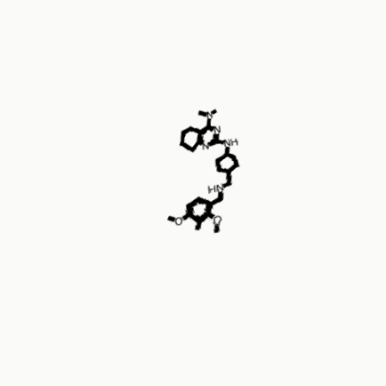 COc1ccc(CNCC2CCC(Nc3nc4c(c(N(C)C)n3)CCCC4)CC2)c(OC)c1C